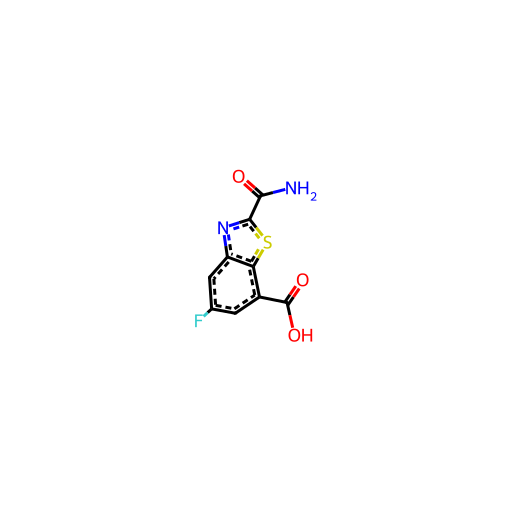 NC(=O)c1nc2cc(F)cc(C(=O)O)c2s1